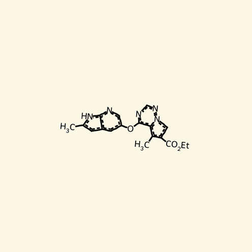 CCOC(=O)c1cn2ncnc(Oc3cnc4[nH]c(C)cc4c3)c2c1C